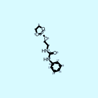 O=C(NCCOP1OCCO1)Nc1ccccc1